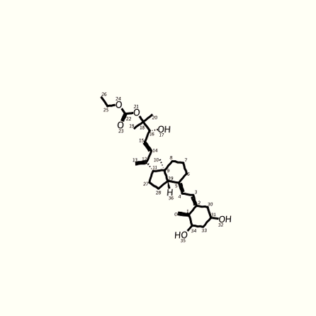 C=C1/C(=C\C=C2/CCC[C@]3(C)[C@@H](C(=C)/C=C/[C@@H](O)C(C)(C)OC(=O)OCC)CC[C@@H]23)CC(O)CC1O